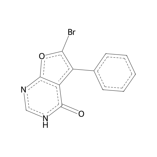 O=c1[nH]cnc2oc(Br)c(-c3ccccc3)c12